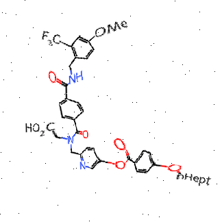 CCCCCCCOc1ccc(C(=O)Oc2ccc(CN(CC(=O)O)C(=O)c3ccc(C(=O)NCc4ccc(OC)cc4C(F)(F)F)cc3)nc2)cc1